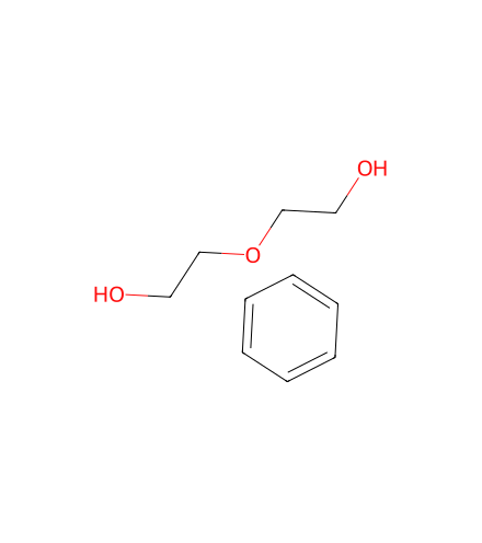 OCCOCCO.c1ccccc1